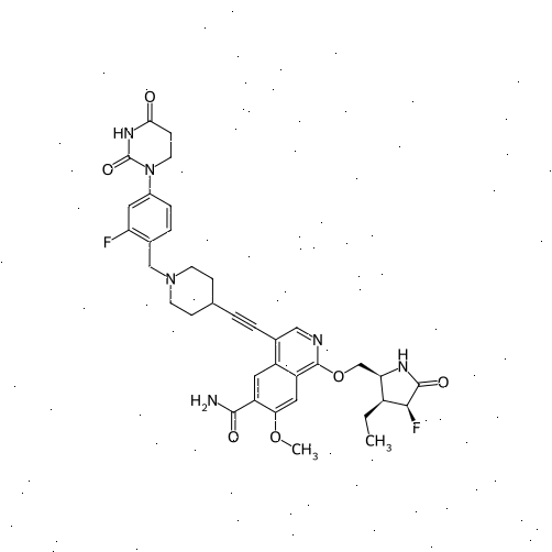 CC[C@@H]1[C@H](F)C(=O)N[C@@H]1COc1ncc(C#CC2CCN(Cc3ccc(N4CCC(=O)NC4=O)cc3F)CC2)c2cc(C(N)=O)c(OC)cc12